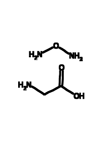 NCC(=O)O.NON